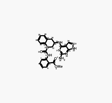 COC(=O)c1ccccc1NC(=O)N1CC(Nc2nc(N)nc3[nH]ncc23)Cc2ccccc21